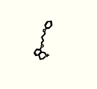 CN1CCc2cccc(OCCCCOc3ccccc3)c2C1